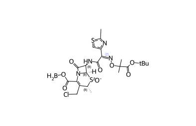 BOC(=O)C1=C(CCl)[C@@H](C)[S+]([O-])[C@@H]2[C@H](NC(=O)/C(=N\OC(C)(C)C(=O)OC(C)(C)C)c3csc(C)n3)C(=O)N12